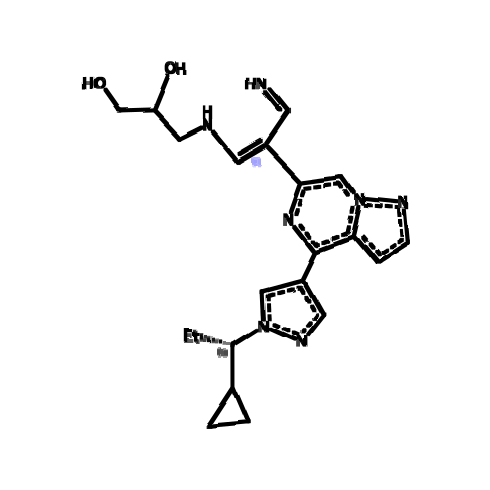 CC[C@@H](C1CC1)n1cc(-c2nc(/C(C=N)=C/NCC(O)CO)cn3nccc23)cn1